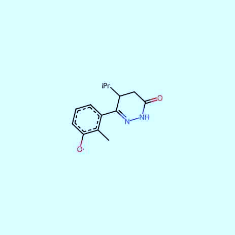 Cc1c([O])cccc1C1=NNC(=O)CC1C(C)C